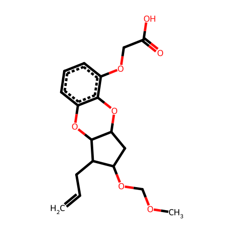 C=CCC1C(OCOC)CC2Oc3c(OCC(=O)O)cccc3OC21